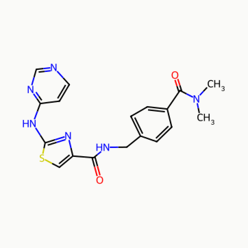 CN(C)C(=O)c1ccc(CNC(=O)c2csc(Nc3ccncn3)n2)cc1